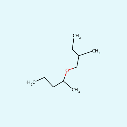 [CH2]CCC(C)OCC(C)CC